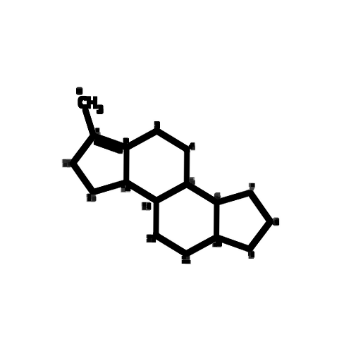 CC1=C2CCC3C4CCCC4CCC3C2CC1